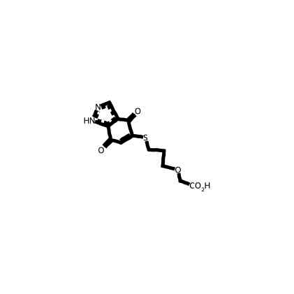 O=C(O)COCCCSC1=CC(=O)c2[nH]ncc2C1=O